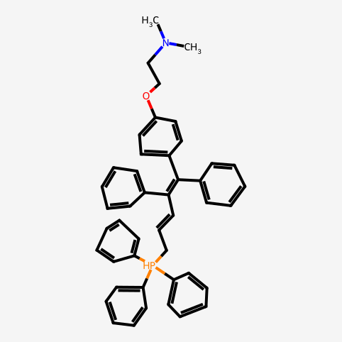 CN(C)CCOc1ccc(/C(=C(/C=CC[PH](c2ccccc2)(c2ccccc2)c2ccccc2)c2ccccc2)c2ccccc2)cc1